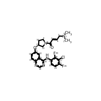 CN(C)CC=CC(=O)N1CC[C@H](Oc2ccc3ncnc(Nc4ccc(F)c(Cl)c4F)c3c2)C1